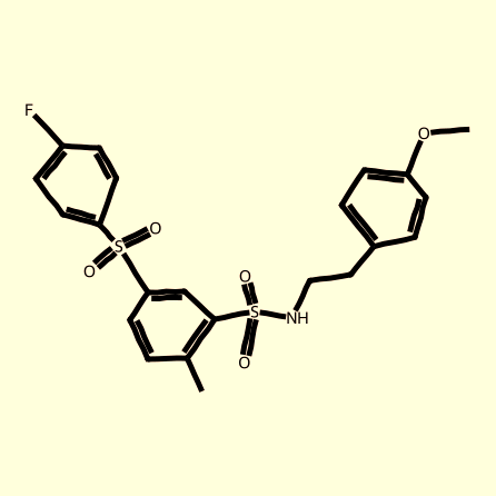 COc1ccc(CCNS(=O)(=O)c2cc(S(=O)(=O)c3ccc(F)cc3)ccc2C)cc1